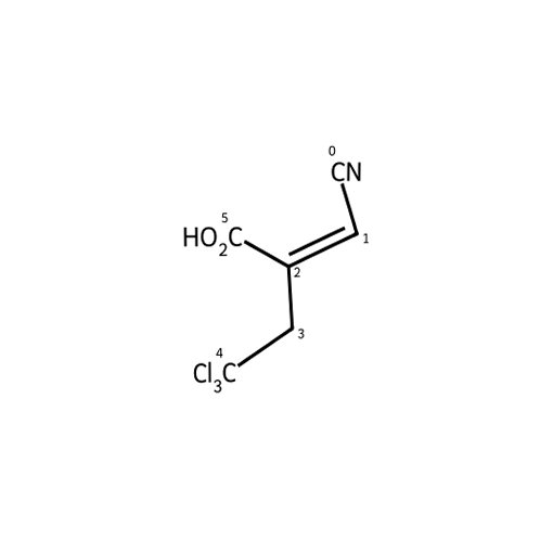 N#C/C=C(/CC(Cl)(Cl)Cl)C(=O)O